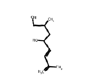 C=C(C)C=CC(O)CC(C)CO